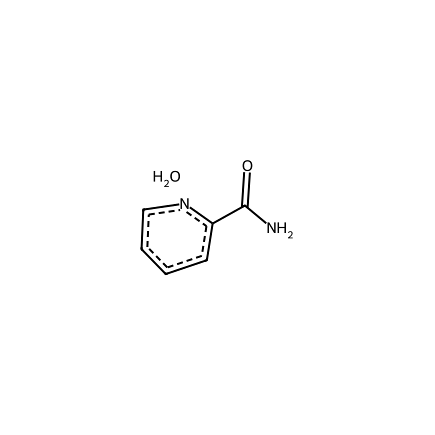 NC(=O)c1ccccn1.O